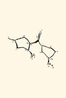 CN1C[C@H](N)[C@H](C(=O)N2CC[C@@H](N)C2)C1